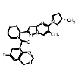 CC1=CN2N=C([C@@H]3CCCCN3C(=O)c3cc(F)cc4c3OCOC4)CC2N=C1N1CC[C@H](C)C1